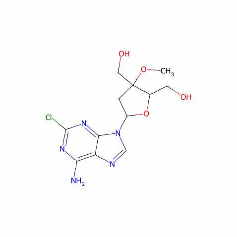 COC1(CO)CC(n2cnc3c(N)nc(Cl)nc32)OC1CO